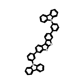 c1cc(-c2ccc3c(c2)oc2oc4cc(-c5cccc(-n6c7ccccc7c7ccccc76)c5)ccc4c23)cc(-n2c3ccccc3c3ccccc32)c1